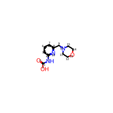 O=C(O)Nc1cccc(CN2CCOCC2)n1